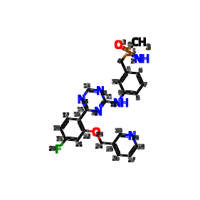 CS(=N)(=O)Cc1cccc(Nc2ncnc(-c3ccc(F)cc3OCc3cccnc3)n2)c1